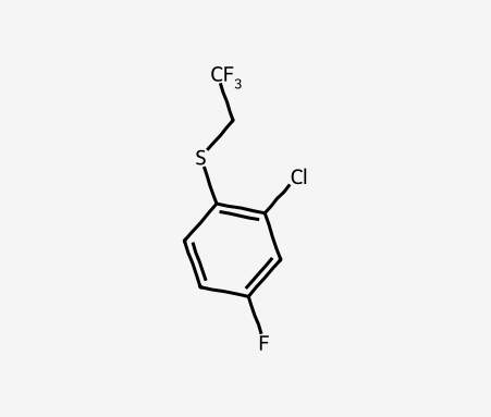 Fc1ccc(SCC(F)(F)F)c(Cl)c1